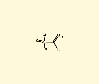 C=C(CC)P(=O)(O)O